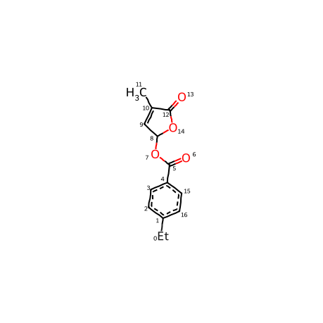 CCc1ccc(C(=O)OC2C=C(C)C(=O)O2)cc1